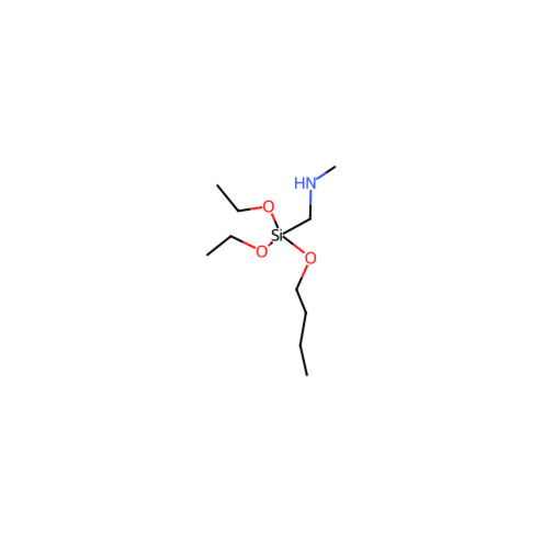 CCCCO[Si](CNC)(OCC)OCC